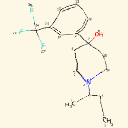 CCC(C)N1CCC(O)(c2cccc(C(F)(F)F)c2)CC1